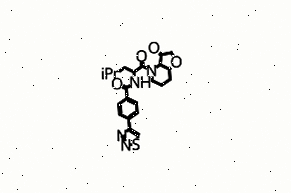 CC(C)CC(NC(=O)c1ccc(-c2csnn2)cc1)C(=O)N1CCCC2OCC(=O)C21